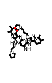 Cc1ccc2c(N=C3NC(=Nc4c(OCCCN5CCCC5)nn5c(C)c(C)ccc45)C(N)=CC3=N)c(OCCCN3CCCC3)nn2c1C